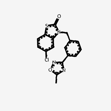 Cc1nc(-c2cccc(Cn3c(=O)sc4ccc(Cl)cc43)c2)no1